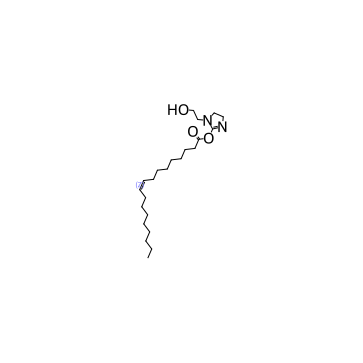 CCCCCCCC/C=C\CCCCCCCC(=O)OC1=NCCN1CCO